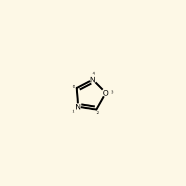 [c]1ncon1